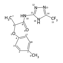 Cc1ccc(OC(C)C(=O)Nc2nnc(C(F)(F)F)[nH]2)cc1